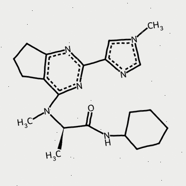 C[C@H](C(=O)NC1CCCCC1)N(C)c1nc(-c2cn(C)cn2)nc2c1CCC2